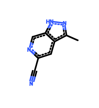 Cc1n[nH]c2cnc(C#N)cc12